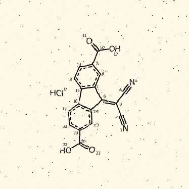 Cl.N#CC(C#N)=C1c2cc(C(=O)O)ccc2-c2ccc(C(=O)O)cc21